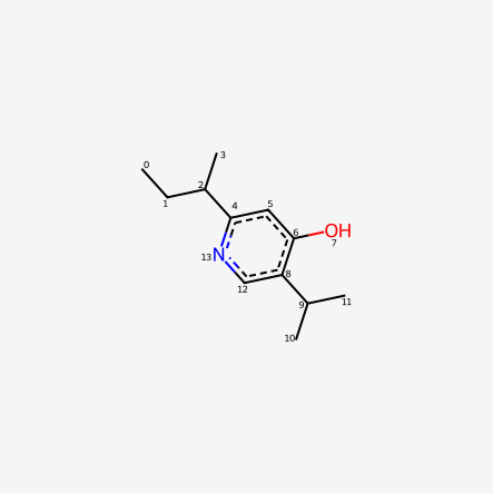 CCC(C)c1cc(O)c(C(C)C)cn1